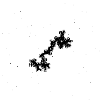 C=CC(=C)OCC(CO)(COCC(COC(=C)C=C)(COC(=O)C=C)COC(=O)CCN(CC)CCN(C)C(C)(C)C(=O)c1ccc(N2CCN(CCC(=O)OCC(COCC(COC(=O)C=C)(COC(=O)C=C)OCC(=O)C=C)(COC(=O)C=C)COC(=O)C=C)C(C)C2)cc1)COC(=O)C=C